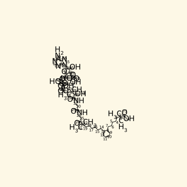 CC(C)(CCCCCc1ccccc1CCCCCCC(C)(C)C(=O)CCNC(=O)CCNC(=O)C(O)C(C)(C)COP(=O)(O)OP(=O)(O)OCC1OC(n2cnc3c(N)ncnc32)C(O)C1OP(=O)(O)O)C(=O)O